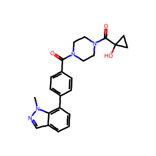 Cn1ncc2cccc(-c3ccc(C(=O)N4CCN(C(=O)C5(O)CC5)CC4)cc3)c21